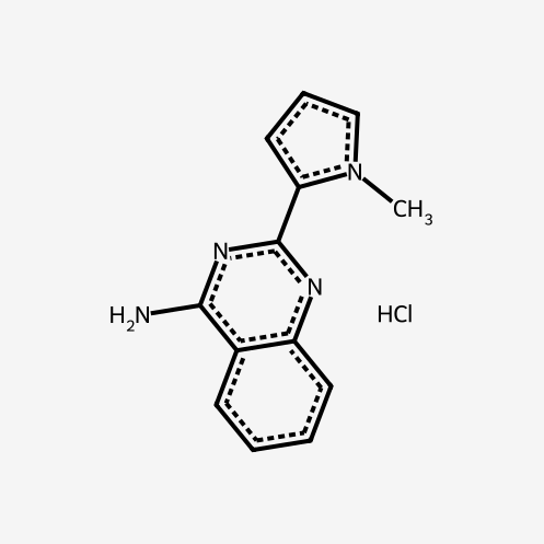 Cl.Cn1cccc1-c1nc(N)c2ccccc2n1